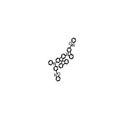 c1ccc(N(c2ccc(-c3nc4ccccc4o3)cc2)c2ccc3c(c2)C2(c4ccccc4-c4ccccc42)c2cc(-n4c5ccccc5c5cc(-c6nc7ccccc7o6)ccc54)ccc2-3)cc1